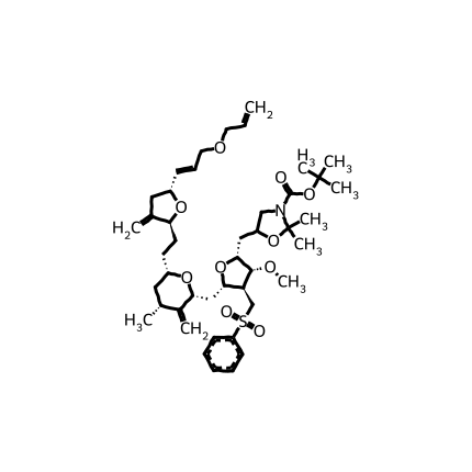 C=CCOCC=C[C@H]1CC(=C)[C@H](CC[C@H]2C[C@@H](C)C(=C)[C@@H](C[C@@H]3O[C@H](CC4CN(C(=O)OC(C)(C)C)C(C)(C)O4)[C@H](OC)[C@H]3CS(=O)(=O)c3ccccc3)O2)O1